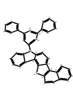 c1ccc(-c2cc(-n3c4ccccc4c4c5sc6ccc7ccccc7c6c5ccc43)nc(-c3ccccc3)n2)cc1